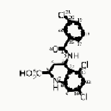 O=C(NC1CC(C(=O)O)Nc2cc(Cl)cc(Cl)c21)c1cccc(Cl)c1